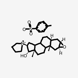 C[C@]12CCC3C(CC[C@H]4C[C@H]5O[C@H]5C[C@]34C)C1C[C@H]([N+]1(C)CCCC1)[C@H]2O.Cc1ccc(S(=O)(=O)[O-])cc1